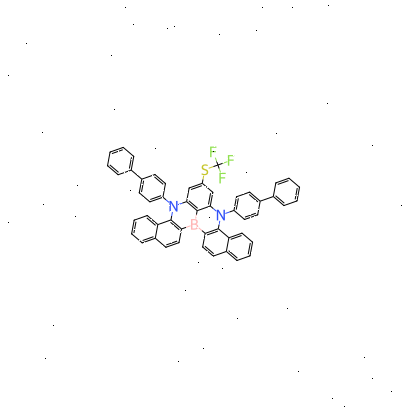 FC(F)(F)Sc1cc2c3c(c1)N(c1ccc(-c4ccccc4)cc1)c1c(ccc4ccccc14)B3c1ccc3ccccc3c1N2c1ccc(-c2ccccc2)cc1